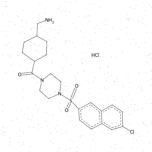 Cl.NCC1CCC(C(=O)N2CCN(S(=O)(=O)c3ccc4cc(Cl)ccc4c3)CC2)CC1